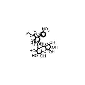 CC1=C(C(=O)OC(C)C)C(C)(c2cccc([N+](=O)[O-])c2)C=CN1.OC[C@H]1O[C@@H](O[C@H]2[C@H](O)[C@@H](O)[C@H](O)O[C@@H]2CO)[C@H](O)[C@@H](O)[C@H]1O